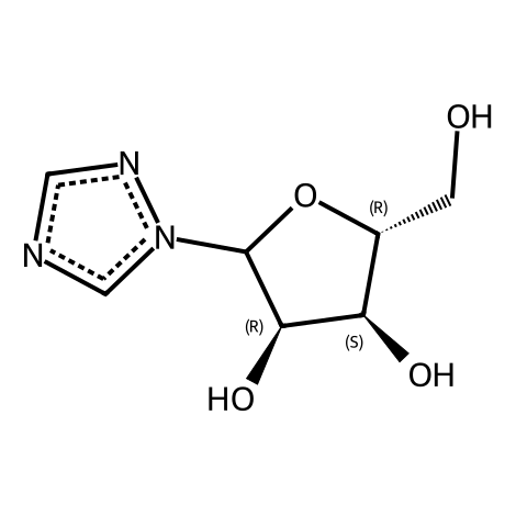 OC[C@H]1OC(n2cncn2)[C@H](O)[C@@H]1O